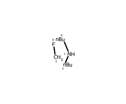 CCCCNCCCC.CF